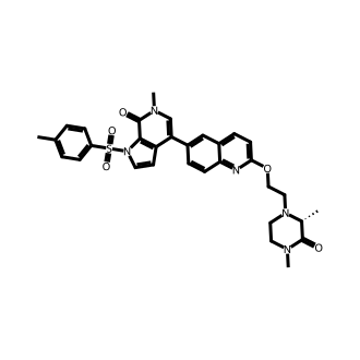 Cc1ccc(S(=O)(=O)n2ccc3c(-c4ccc5nc(OCCN6CCN(C)C(=O)[C@H]6C)ccc5c4)cn(C)c(=O)c32)cc1